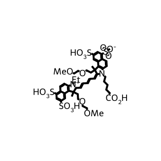 CC[N+]1=C(/C=C/C=C/C=C2/N(CCCCCC(=O)O)c3ccc4c(S(=O)(=O)[O-])cc(S(=O)(=O)O)cc4c3C2(C)CCOCCOC)C(C)(CCOCCOC)c2c1ccc1c(S(=O)(=O)O)cc(S(=O)(=O)O)cc21